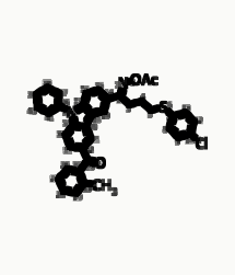 CC(=O)O/N=C(\CCCSc1ccc(Cl)cc1)c1ccc2c(c1)c1cc(C(=O)c3ccccc3C)ccc1n2-c1ccccc1